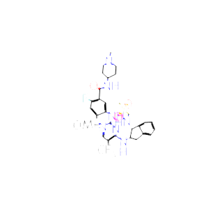 COc1cc(F)c(C(=O)NC2CCN(C)CC2)cc1Nc1ncc(C(F)(F)F)c(N[C@@H]2Cc3ccccc3[C@H]2NCS(C)(=O)=O)n1